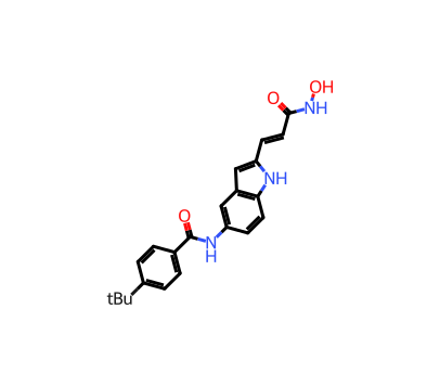 CC(C)(C)c1ccc(C(=O)Nc2ccc3[nH]c(C=CC(=O)NO)cc3c2)cc1